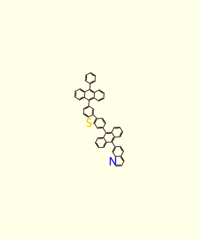 c1ccc(-c2c3ccccc3c(-c3ccc4sc5cc(-c6c7ccccc7c(-c7ccc8cccnc8c7)c7ccccc67)ccc5c4c3)c3ccccc23)cc1